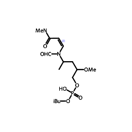 CCC(C)OP(=O)(O)OCC(CC(C)N(C=O)/C=C\C(=O)NC)OC